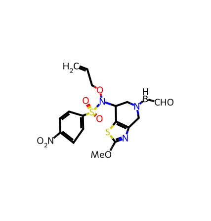 C=CCON(C1CN(BC=O)Cc2nc(OC)sc21)S(=O)(=O)c1ccc([N+](=O)[O-])cc1